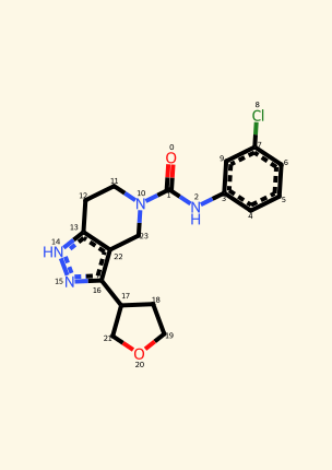 O=C(Nc1cccc(Cl)c1)N1CCc2[nH]nc(C3CCOC3)c2C1